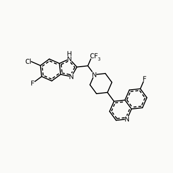 Fc1ccc2nccc(C3CCN(C(c4nc5cc(F)c(Cl)cc5[nH]4)C(F)(F)F)CC3)c2c1